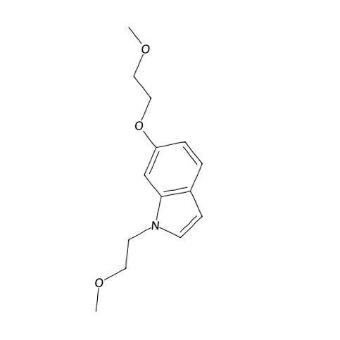 COCCOc1ccc2ccn(CCOC)c2c1